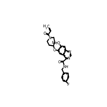 C=CC(=O)N1CCC(Oc2cc3c(C(=O)NCc4ccc(F)cc4)ncnc3cc2OC)CC1